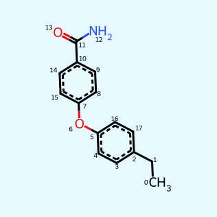 CCc1ccc(Oc2ccc(C(N)=O)cc2)cc1